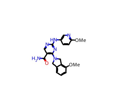 COc1ccc(Nc2ncc(C(N)=O)c(N3Cc4cccc(OC)c4C3)n2)cn1